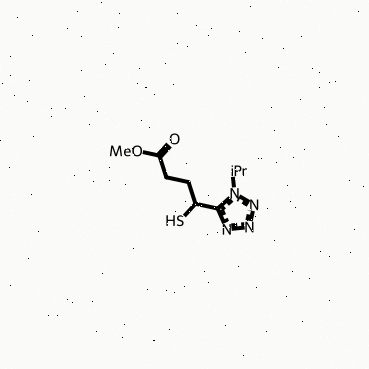 COC(=O)CCC(S)c1nnnn1C(C)C